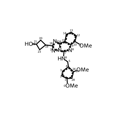 COc1ccc(CNc2nc3c(OC)cccc3c3nc(C4CC(O)C4)nn23)c(OC)c1